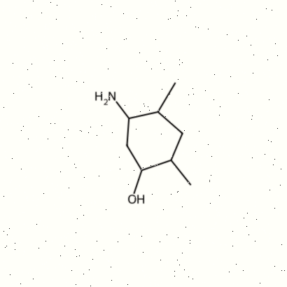 CC1CC(C)C(O)CC1N